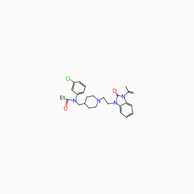 C=C(C)n1c(=O)n(CCN2CCC(CN(C(=O)CC)c3cccc(Cl)c3)CC2)c2ccccc21